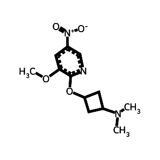 COc1cc([N+](=O)[O-])cnc1OC1CC(N(C)C)C1